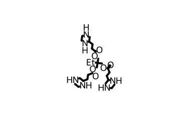 CCC(COC(=O)CCC1CNCCN1)(COC(=O)CCC1CNCCN1)COC(=O)CCC1CNCCN1